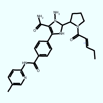 CC/C=C/C(=O)N1CCCC1C1NC(c2ccc(C(=O)Nc3ccc(C)cn3)cc2)=C(C(N)=O)N1N